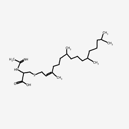 CC(=N)NC(CSCC=C(C)CCCC(C)CCCC(C)CCCC(C)C)C(=O)O